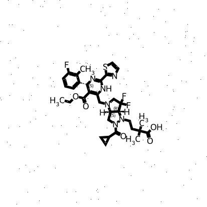 CCOC(=O)C1=C(CN2CC(F)(F)[C@H]3[C@@H]2CN(C(=O)C2CC2)N3CCC(C)(C)C(=O)O)NC(c2nccs2)=N[C@H]1c1cccc(F)c1C